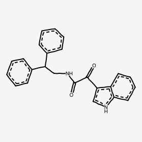 O=C(NCC(c1ccccc1)c1ccccc1)C(=O)c1c[nH]c2ccccc12